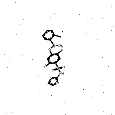 C[C@H](Oc1cc(F)c(S(=O)(=O)Nc2nccs2)cc1F)c1ccccc1F